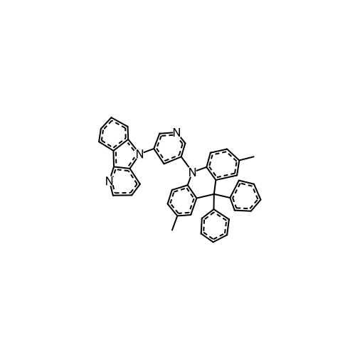 Cc1ccc2c(c1)C(c1ccccc1)(c1ccccc1)c1cc(C)ccc1N2c1cncc(-n2c3ccccc3c3ncccc32)c1